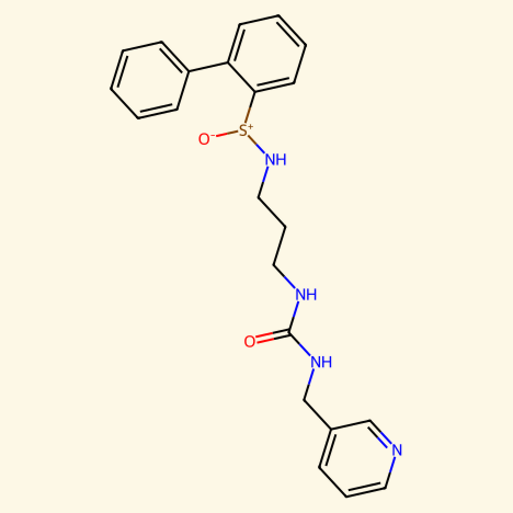 O=C(NCCCN[S+]([O-])c1ccccc1-c1ccccc1)NCc1cccnc1